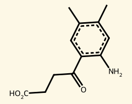 Cc1cc(N)c(C(=O)CCC(=O)O)cc1C